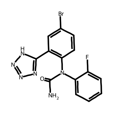 NC(=O)N(c1ccccc1F)c1ccc(Br)cc1-c1nnn[nH]1